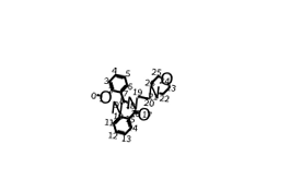 COc1ccccc1-c1nc2ccccc2c(=O)n1CCN1CCOCC1